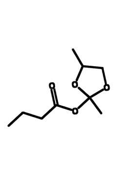 CCCC(=O)OC1(C)OCC(C)O1